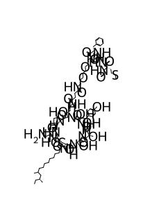 CC[C@H](C)CC(C)CCCCCCCCC(=O)N[C@H]1C[C@@H](O)/C(=N/CCN)NC(=O)[C@@H]2CCCN2C(=O)[C@H]([C@H](O)CCNC(=O)CCC(=O)NCCOCCOCCNC(=O)[C@H](Cc2ccccc2)NC(=O)CNC(=O)[C@H](CCSC)NC=O)NC(=O)[C@H]([C@H](O)[C@@H](O)c2ccc(O)cc2)NC(=O)[C@@H]2C[C@@H](O)CN2C(=O)[C@H]([C@@H](C)O)NC1=O